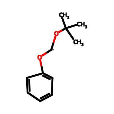 CC(C)(C)O[CH]Oc1ccccc1